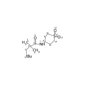 CC(C)(C)CC(C)(C)C(=O)NC1CCS(=O)(=O)CC1